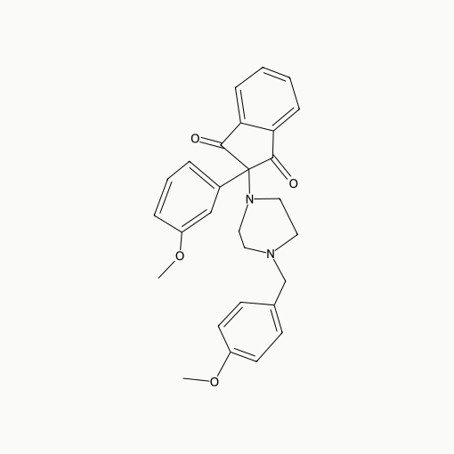 COc1ccc(CN2CCN(C3(c4cccc(OC)c4)C(=O)c4ccccc4C3=O)CC2)cc1